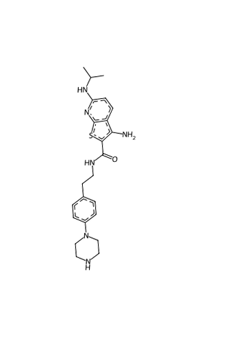 CC(C)Nc1ccc2c(N)c(C(=O)NCCc3ccc(N4CCNCC4)cc3)sc2n1